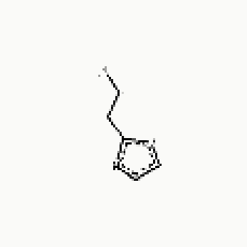 N[CH]Cc1ncco1